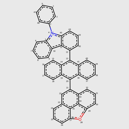 c1ccc(-n2c3ccccc3c3c(-c4c5ccccc5c(-c5cc6cccc7oc8cccc5c8c67)c5ccccc45)cccc32)cc1